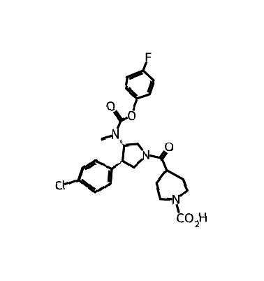 CN(C(=O)Oc1ccc(F)cc1)[C@@H]1CN(C(=O)C2CCN(C(=O)O)CC2)C[C@H]1c1ccc(Cl)cc1